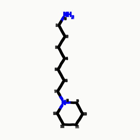 NCCCCCCCN1CCCCC1